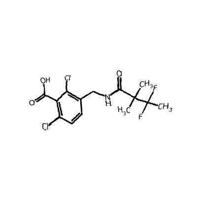 CC(F)(F)C(C)(C)C(=O)NCc1ccc(Cl)c(C(=O)O)c1Cl